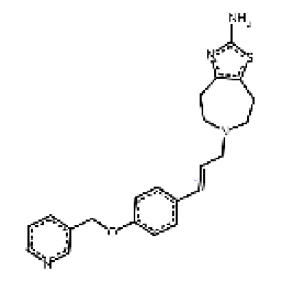 Nc1nc2c(s1)CCN(C/C=C/c1ccc(OCc3cccnc3)cc1)CC2